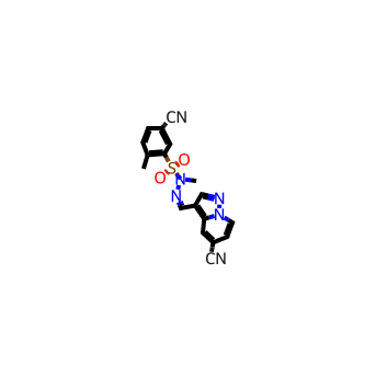 Cc1ccc(C#N)cc1S(=O)(=O)N(C)/N=C\c1cnn2ccc(C#N)cc12